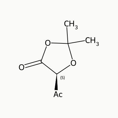 CC(=O)[C@@H]1OC(C)(C)OC1=O